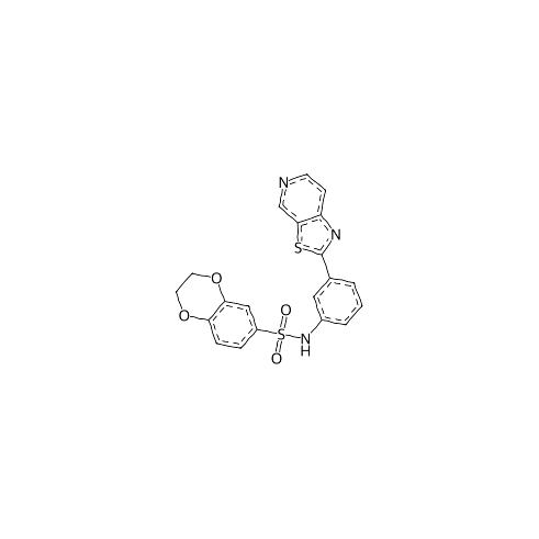 O=S(=O)(Nc1cccc(-c2nc3ccncc3s2)c1)c1ccc2c(c1)OCCO2